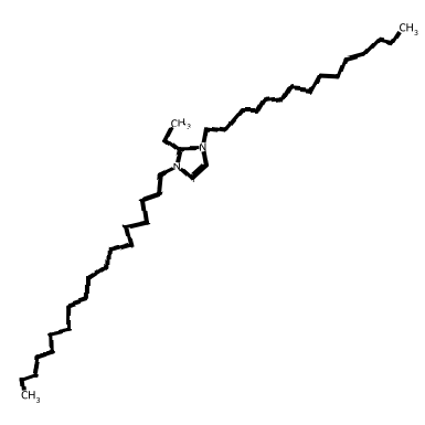 CCCCCCCCCCCCCCCCCCN1C=CN(CCCCCCCCCCCCCCC)C1CC